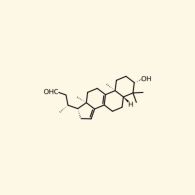 C[C@H](CC=O)[C@H]1CC=C2C3=C(CC[C@@]21C)[C@@]1(C)CC[C@H](O)C(C)(C)[C@@H]1CC3